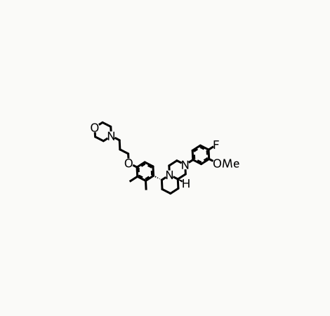 COc1cc(N2CCN3[C@@H](CCC[C@@H]3c3ccc(OCCCN4CCOCC4)c(C)c3C)C2)ccc1F